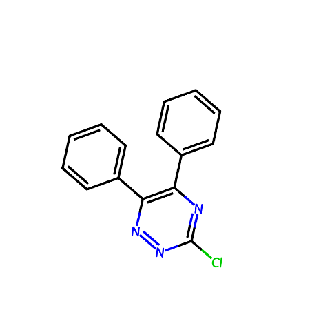 Clc1nnc(-c2ccccc2)c(-c2ccccc2)n1